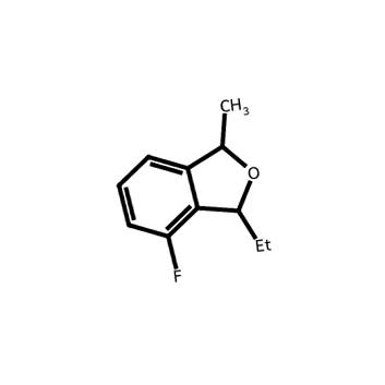 CCC1OC(C)c2cccc(F)c21